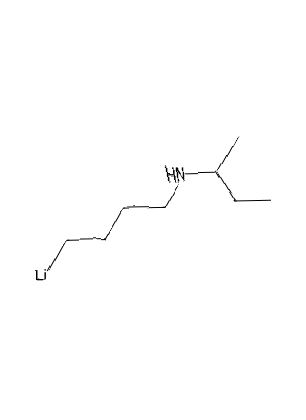 [Li][CH2]CCCNC(C)CC